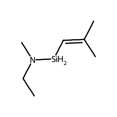 CCN(C)[SiH2]C=C(C)C